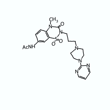 CC(=O)Nc1ccc2c(c1)S(=O)(=O)N(CCCN1CCN(c3ncccn3)CC1)C(=O)N2C